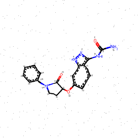 NC(=O)Nc1n[nH]c2cc(OC3CCN(c4ccccc4)C3=O)ccc12